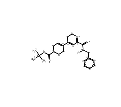 CC(C)(C)OC(=O)N1CC=C(C2=CC(C(=O)N(O)Cc3ccccc3)=NCC2)CC1